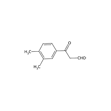 Cc1ccc(C(=O)C[C]=O)cc1C